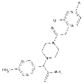 NC(=O)C(c1ccc(C(=O)O)cc1)N1CCN(C(=O)Cc2ccc(Br)cc2Cl)CC1